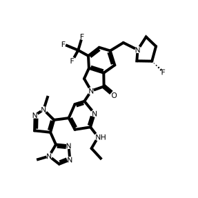 CCNc1cc(-c2c(-c3nncn3C)cnn2C)cc(N2Cc3c(cc(CN4CC[C@H](F)C4)cc3C(F)(F)F)C2=O)n1